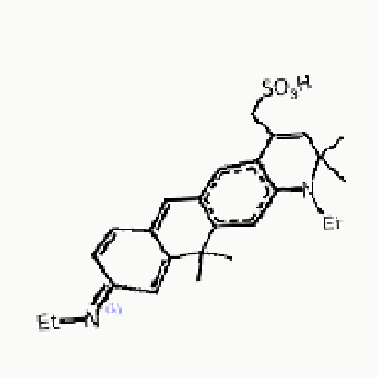 CC/N=C1\C=CC2=Cc3cc4c(cc3C(C)(C)C2=C1)N(CC)C(C)(C)C=C4CS(=O)(=O)O